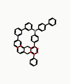 c1ccc(-c2ccc(N(c3ccc(-c4ccc(-c5ccccc5)c5c4C4c6ccccc6C5c5ccccc54)cc3)c3cccc(-c4cccc(-c5ccccc5)c4)c3)cc2)cc1